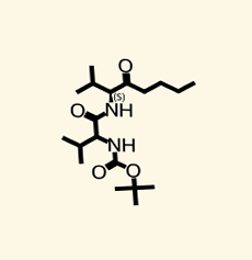 CCCCC(=O)[C@@H](NC(=O)C(NC(=O)OC(C)(C)C)C(C)C)C(C)C